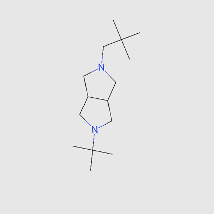 CC(C)(C)CN1CC2CN(C(C)(C)C)CC2C1